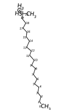 CCCCCCCCCCCCCCCCCCCC[SiH](C)C